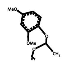 COc1ccc(OC(C)OC(C)C)c(OC)c1